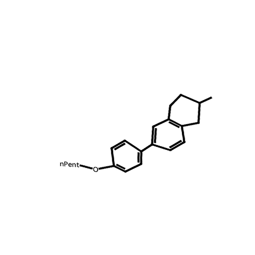 CCCCCOc1ccc(-c2ccc3c(c2)CCC(C)C3)cc1